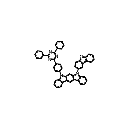 c1ccc(-c2nc(-c3ccccc3)nc(-c3ccc(-n4c5ccccc5c5cc6c7ccccc7n(-c7ccc8oc9ccccc9c8c7)c6cc54)cc3)n2)cc1